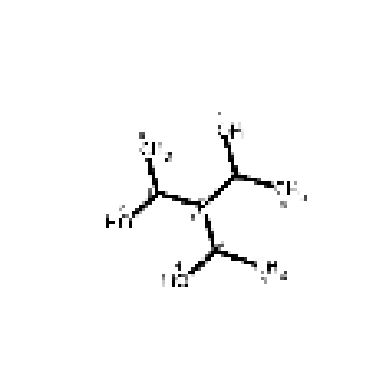 CC(O)P(C(C)O)C(C)O